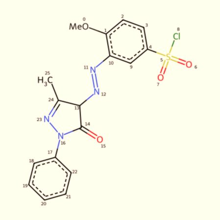 COc1ccc(S(=O)(=O)Cl)cc1N=NC1C(=O)N(c2ccccc2)N=C1C